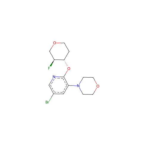 F[C@H]1COCC[C@@H]1Oc1ncc(Br)cc1N1CCOCC1